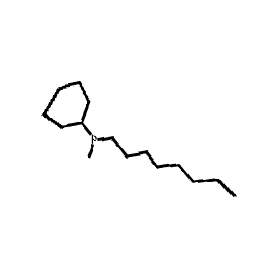 CCCCCCCCP(C)C1CCCCC1